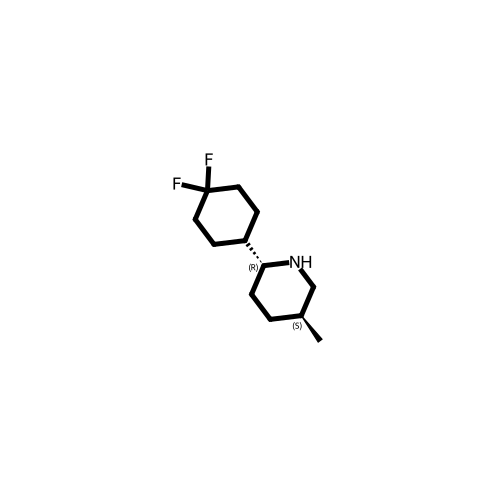 C[C@H]1CC[C@H](C2CCC(F)(F)CC2)NC1